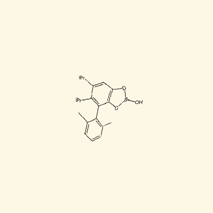 Cc1cccc(C)c1-c1c2c(cc(C(C)C)c1C(C)C)OB(O)O2